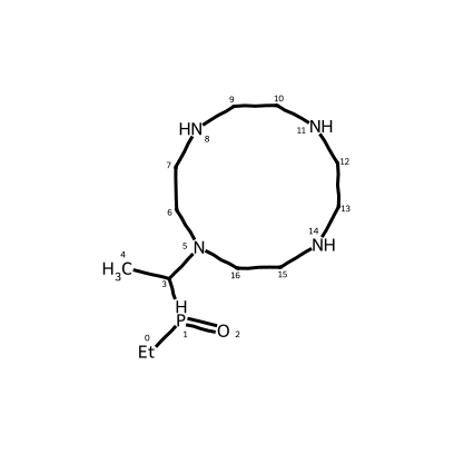 CC[PH](=O)C(C)N1CCNCCNCCNCC1